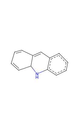 C1=CC2=Cc3ccccc3NC2C=C1